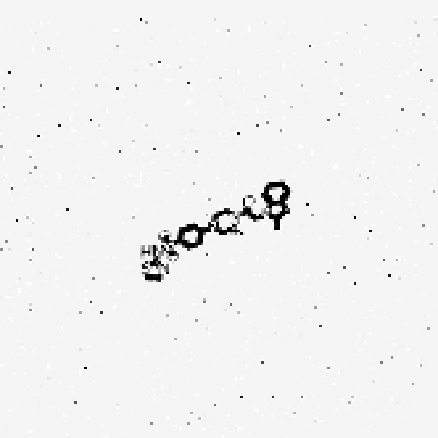 Cc1cc2ccccc2n1CC(=O)N1CCN(c2ccc(S(=O)(=O)Nc3nccs3)cc2)C[C@@H]1C